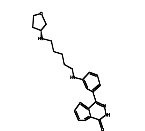 O=c1[nH]nc(-c2cccc(NCCCCCN[C@H]3CCOC3)c2)c2ccccc12